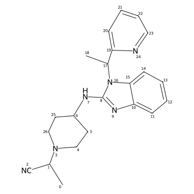 CC(C#N)N1CCC(Nc2nc3ccccc3n2C(C)c2ccccn2)CC1